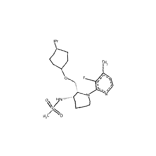 Cc1ccnc(N2CC[C@H](NS(C)(=O)=O)[C@@H]2COC2CCC(C(C)C)CC2)c1F